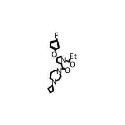 CCC(=O)N1CC(Oc2ccc(F)cc2)CC1C(=O)N1CCCN(C2CCC2)CC1